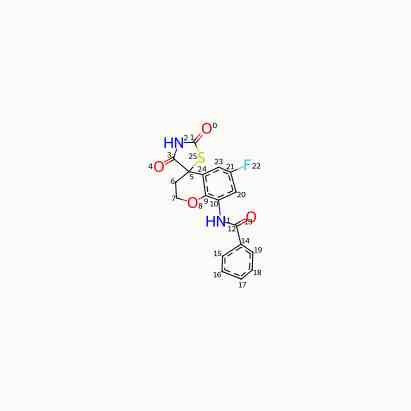 O=C1NC(=O)C2(CCOc3c(NC(=O)c4ccccc4)cc(F)cc32)S1